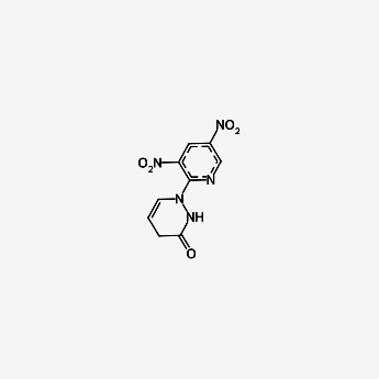 O=C1CC=CN(c2ncc([N+](=O)[O-])cc2[N+](=O)[O-])N1